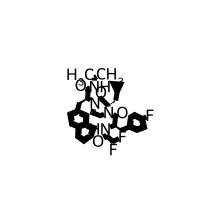 CC(C)NC(=O)[C@H](Cc1ccc2ccccc2c1)N1CCN(C(=O)[C@@H](Cc2ccc(F)cc2)NC(=O)C(F)F)[C@@H](CC2CC2)C1=O